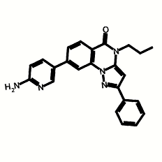 CCCn1c(=O)c2ccc(-c3ccc(N)nc3)cc2n2nc(-c3ccccc3)cc12